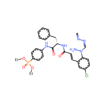 C=N/N=C\N(N)c1ccc(Cl)cc1/C=C/C(=O)N[C@@H](Cc1ccccc1)C(=O)Nc1ccc(P(=O)(OCC)OCC)cc1